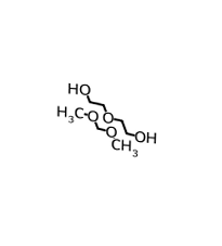 COCOC.OCCOCCO